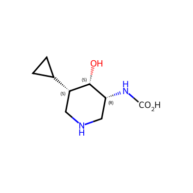 O=C(O)N[C@@H]1CNC[C@H](C2CC2)[C@@H]1O